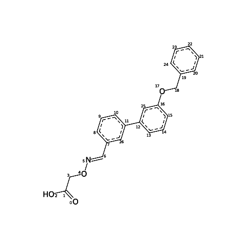 O=C(O)CON=Cc1cccc(-c2cccc(OCc3ccccc3)c2)c1